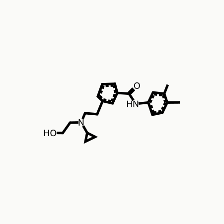 Cc1ccc(NC(=O)c2cccc(CCN(CCO)C3CC3)c2)cc1C